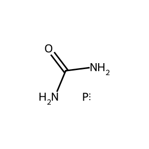 NC(N)=O.[P]